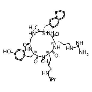 C=C1NCC(=O)N[C@H](Cc2ccc(O)cc2)C(=O)N(C)[C@H](CCCNC(C)C)C(=O)N[C@@H](CCCNC(=N)N)C(=O)N[C@H]1Cc1ccc2ccccc2c1